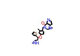 CNCCC(Oc1ccc(CN2CCN(C)c3ccncc3C2=O)c(C)c1)c1cccs1